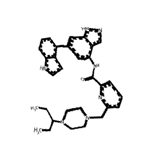 CCC(CC)N1CCN(Cc2cccc(C(=O)Nc3cc(-c4cccc5[nH]ccc45)cc4[nH]ncc34)n2)CC1